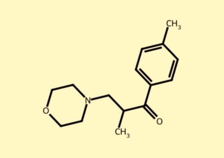 Cc1ccc(C(=O)C(C)CN2CCOCC2)cc1